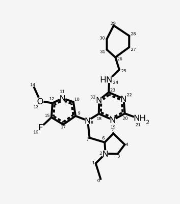 CCN1CCCC1CN(c1cnc(OC)c(F)c1)c1nc(N)nc(NCC2CCCCC2)n1